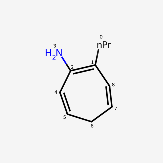 CCCC1=C(N)C=CCC=C1